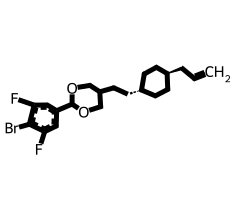 C=CC[C@H]1CC[C@H](CCC2COC(c3cc(F)c(Br)c(F)c3)OC2)CC1